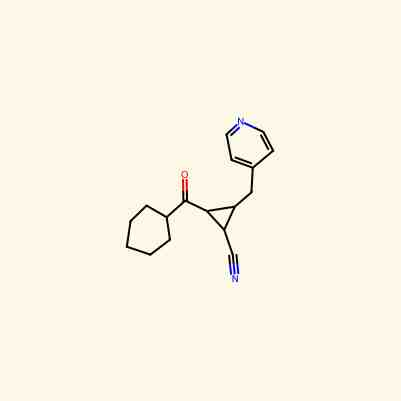 N#CC1C(Cc2ccncc2)C1C(=O)C1CCCCC1